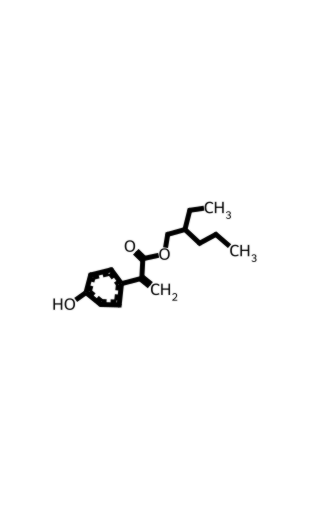 C=C(C(=O)OCC(CC)CCC)c1ccc(O)cc1